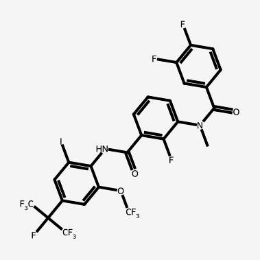 CN(C(=O)c1ccc(F)c(F)c1)c1cccc(C(=O)Nc2c(I)cc(C(F)(C(F)(F)F)C(F)(F)F)cc2OC(F)(F)F)c1F